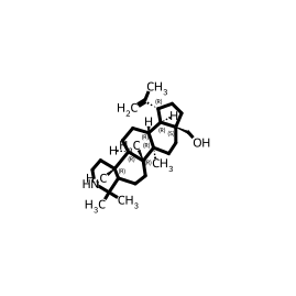 C=C(C)[C@@H]1CC[C@]2(CO)CC[C@]3(C)[C@H](CC[C@@H]4[C@@]5(C)CCNC(C)(C)C5CC[C@]43C)[C@@H]12